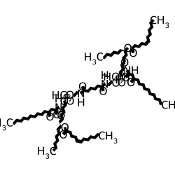 CCCCCC/C=C\CCCC(=O)O[C@H](CCCCCCC)CCOCC(COP(=O)(O)OCCNC(=O)CCCCC(=O)NCCOP(=O)(O)OCC(COCC[C@@H](CCCCCCC)OC(=O)CCC/C=C\CCCCCC)NC(=O)CC(=O)CCCCCCCCCCC)NC(=O)CC(=O)CCCCCCCCCCC